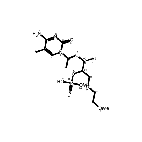 CC[C@H](OC(C)n1cc(C)c(N)nc1=O)C(COCCOC)OP(O)(=S)OC